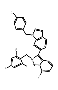 Fc1cc(F)c(Cn2nc3c(C(F)(F)F)cccc3c2-c2ccc3ccn(Cc4ccc(Cl)cc4)c3c2)c(F)c1